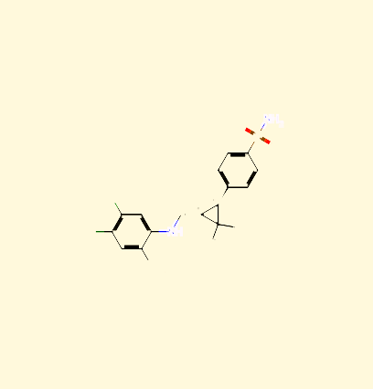 Cc1cc(F)c(F)cc1NC[C@@H]1[C@@H](c2ccc(S(N)(=O)=O)cc2)C1(C)C